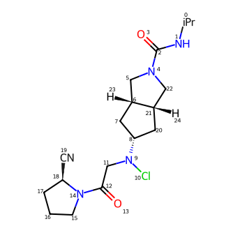 CC(C)NC(=O)N1C[C@H]2C[C@@H](N(Cl)CC(=O)N3CCC[C@H]3C#N)C[C@H]2C1